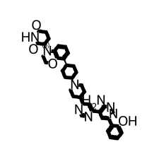 Nc1nnc(-c2ccccc2O)cc1-c1cc(C2CCN([C@H]3CC[C@H](c4cccc5c4OCCN5[C@H]4CCC(=O)NC4=O)CC3)CC2)ncn1